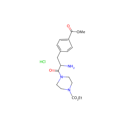 CCOC(=O)N1CCN(C(=O)C(N)Cc2ccc(C(=O)OC)cc2)CC1.Cl